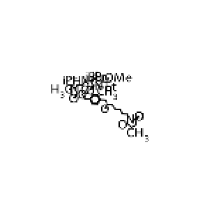 CC[C@H](C)[C@@H]([C@@H](CC)OC)N(C)C(=O)[C@@H](NC(=O)[C@H](C(C)C)N(C)C(=O)OCc1ccc(CC(=O)CCCCCN2C(=O)CC(C)C2=O)cc1)C(C)C